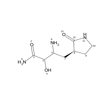 NC(=O)C(O)C(N)C[C@@H]1CCNC1=O